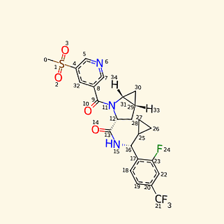 CS(=O)(=O)c1cncc(C(=O)N2[C@@H](C(=O)N[C@@H](c3ccc(C(F)(F)F)cc3F)C3CC3)C[C@H]3C[C@H]32)c1